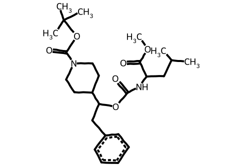 COC(=O)C(CC(C)C)NC(=O)OC(Cc1ccccc1)C1CCN(C(=O)OC(C)(C)C)CC1